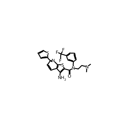 CN(C)CCN(C(=O)c1sc2nc(-c3cccs3)ccc2c1N)c1cccc(C(F)(F)F)c1